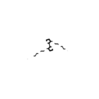 CCCCOCCOCCOc1ccsc1-c1sccc1OCCOCCOCCCC